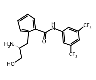 N[C@@H](CO)Cc1ccccc1C(=O)Nc1cc(C(F)(F)F)cc(C(F)(F)F)c1